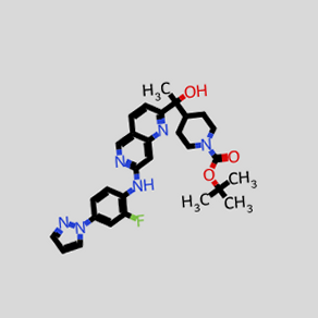 CC(C)(C)OC(=O)N1CCC(C(C)(O)c2ccc3cnc(Nc4ccc(-n5cccn5)cc4F)cc3n2)CC1